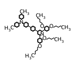 CCCCCOc1ccc(-c2cc(-c3ccc(-c4ccc(N(c5ccc(C)cc5)c5ccc(C)cc5)cc4)cc3)cc(-c3ccc(OCCCCC)cc3OCCCCC)n2)c(OCCCCC)c1